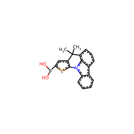 CC1(C)c2cc(B(O)O)sc2-n2c3ccccc3c3cccc1c32